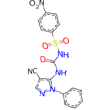 N#Cc1cnn(-c2ccccc2)c1NC(=O)NS(=O)(=O)c1ccc([N+](=O)[O-])cc1